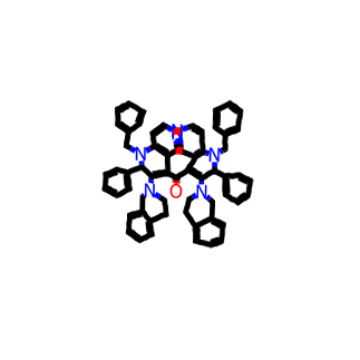 O=C(C1=C(N2CCc3ccccc3C2)C(c2ccccc2)N(Cc2ccccc2)c2ccncc21)C1=C(N2CCc3ccccc3C2)C(c2ccccc2)N(Cc2ccccc2)c2ccncc21